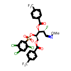 CO/N=C\[C@@H](F)[C@H](OC(=O)c1ccc(C(F)(F)F)cc1)[C@@H](COC(=O)c1ccc(C(F)(F)F)cc1)OS(=O)(=O)c1cc(Cl)c(Cl)cc1Cl